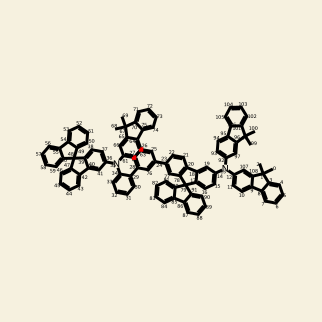 CC1(C)c2ccccc2-c2ccc(N(c3ccc4c(c3)-c3ccc(-c5cccc(-c6ccccc6N(c6ccc7c(c6)-c6ccccc6C76c7ccccc7-c7ccccc76)c6ccc7c(c6)C(C)(C)c6ccccc6-7)c5)cc3C43c4ccccc4-c4ccccc43)c3ccc4c(c3)C(C)(C)c3ccccc3-4)cc21